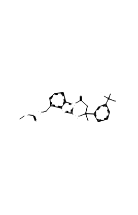 CNC(=O)NCc1cccc2c1nc1n2C(=O)CC(C)(c2cccc(C(F)(F)F)c2)N1